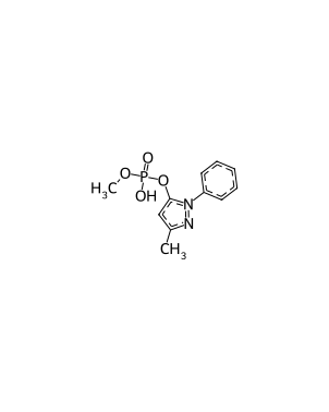 COP(=O)(O)Oc1cc(C)nn1-c1ccccc1